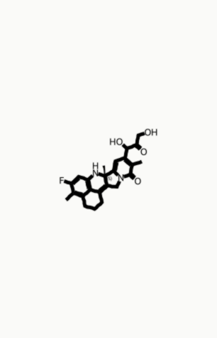 Cc1c(F)cc2c3c1CCCC3=C1Cn3c(cc(C(O)C(=O)CO)c(C)c3=O)[C@@]1(C)N2